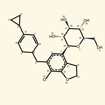 OC[C@H]1O[C@@H](c2cc(CC3C=CC(C4CC4)=CC3)c(Cl)c3c2CCO3)[C@H](O)[C@@H](O)[C@@H]1O